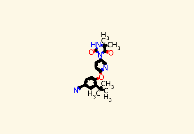 CC1(C)NC(=O)N(c2ccc(Oc3ccc(C#N)cc3C(C)(C)C)nc2)C1=O